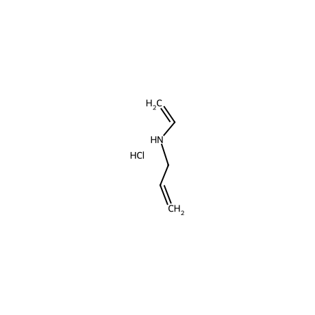 C=CCNC=C.Cl